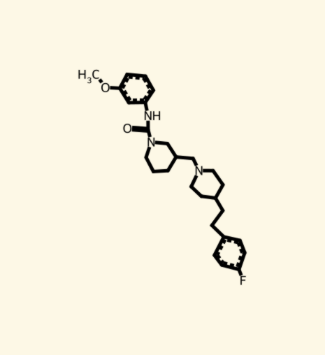 COc1cccc(NC(=O)N2CCCC(CN3CCC(CCc4ccc(F)cc4)CC3)C2)c1